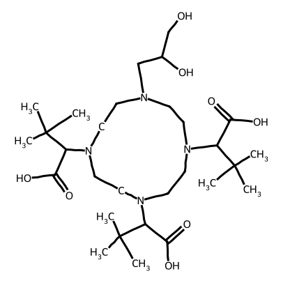 CC(C)(C)C(C(=O)O)N1CCN(CC(O)CO)CCN(C(C(=O)O)C(C)(C)C)CCN(C(C(=O)O)C(C)(C)C)CC1